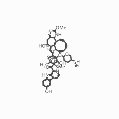 COC(=O)NC1C(=O)C[C@H](O)/C(=C/CS(C)(=S)=S)C2=C1C#C/C=C\C#C[C@@H]2OC1OC(C)C(SC)(C(=O)c2nccc3c2[nH]c2ccc(O)cc23)C(O)C1OC1CCC(NC(C)C)CO1